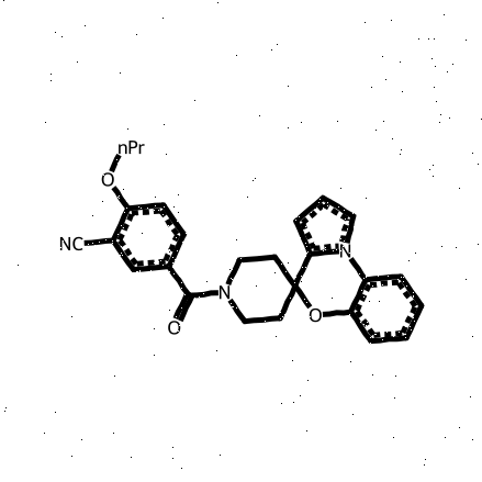 CCCOc1ccc(C(=O)N2CCC3(CC2)Oc2ccccc2-n2cccc23)cc1C#N